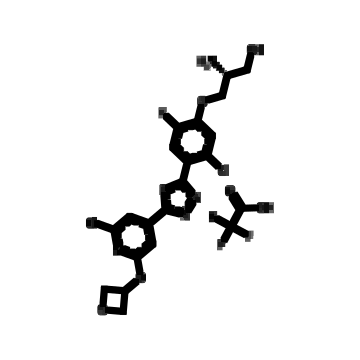 N[C@H](CO)COc1cc(Cl)c(-c2nnc(-c3cc(Cl)nc(OC4COC4)c3)s2)cc1F.O=C(O)C(F)(F)F